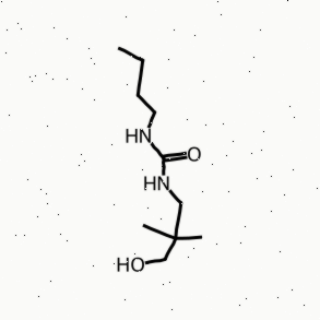 CCCCNC(=O)NCC(C)(C)CO